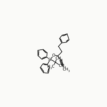 CC#CC(CCc1ccccc1)O[Si](c1ccccc1)(c1ccccc1)C(C)(C)C